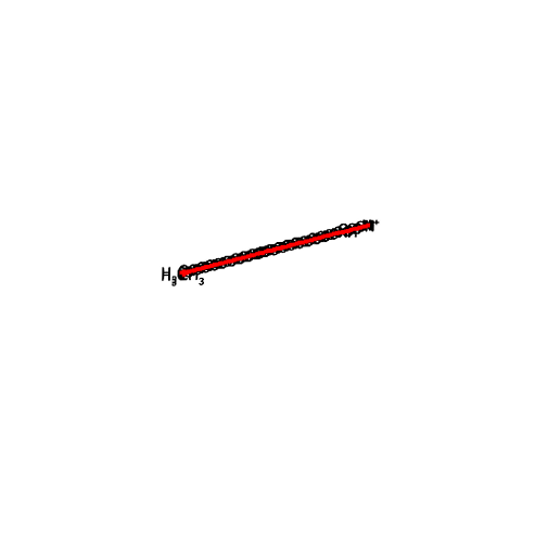 CC(C)(C)C(=O)CCOCCOCCOCCOCCOCCOCCOCCOCCOCCOCCOCCOCCOCCOCCOCCOCCOCCOCCOCCOCCOCCOCCOCCOCCOCCOCCOCCOCCOCCOCCOCCOCCOCCOCCOCCOCCNC(=O)CCOCCOCCOCCOCCCN=[N+]=[N-]